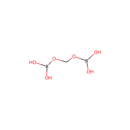 OB(O)OCOB(O)O